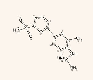 Nc1nc2c(C(F)(F)F)nc(-c3cccc(S(N)(=O)=O)c3)nc2[nH]1